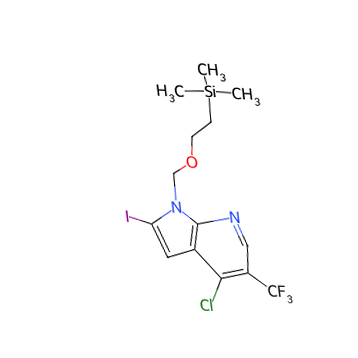 C[Si](C)(C)CCOCn1c(I)cc2c(Cl)c(C(F)(F)F)cnc21